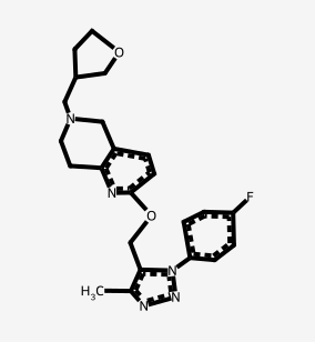 Cc1nnn(-c2ccc(F)cc2)c1COc1ccc2c(n1)CCN(CC1CCOC1)C2